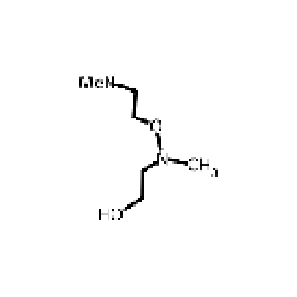 CNCCON(C)CCO